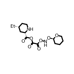 CC[C@@H]1CCN[C@H](C(=O)OC(=O)C(=O)ONO[C@@H]2CCCCO2)C1